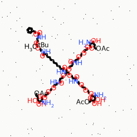 CC(=O)OCC1CC(O)C(N)C(OCCOCCOCCNC(=O)CCOCC(COCCC(=O)NCCOCCOCCOC2OC(COC(C)=O)C(O)C(O)C2N)(COCCC(=O)NCCOCCOCCOC2OC(COC(C)=O)C(O)C(O)C2N)NC(=O)CCCCCCCCCCC(=O)NCCOC(C)(OCCNC(=O)OCc2ccccc2)C(C)(C)C)O1